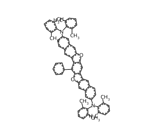 Cc1cccc(C)c1N(c1ccc2cc3c(cc2c1)oc1c(-c2ccccc2)c2c(cc13)oc1cc3cc(N(c4c(C)cccc4C)c4c(C)cccc4C)ccc3cc12)c1c(C)cccc1C